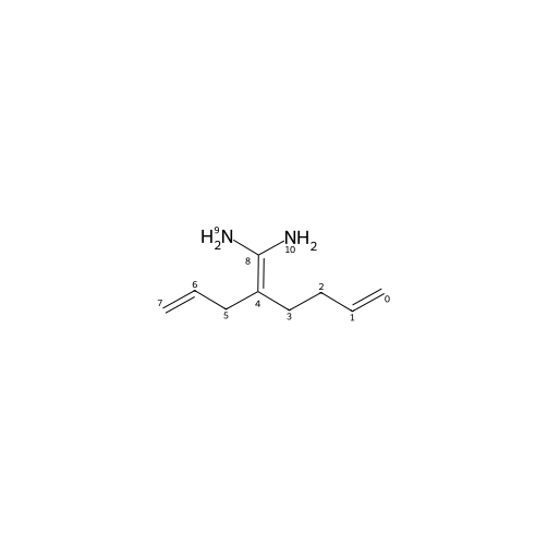 C=CCCC(CC=C)=C(N)N